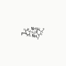 Cc1ccc([C@H](N)[C@@H](N)c2ccc(F)cc2)cc1